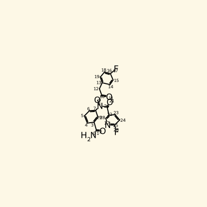 NC(=O)c1cccc(N(OC(=O)Cc2ccc(F)cc2)C(=O)c2ccc(F)nc2)c1